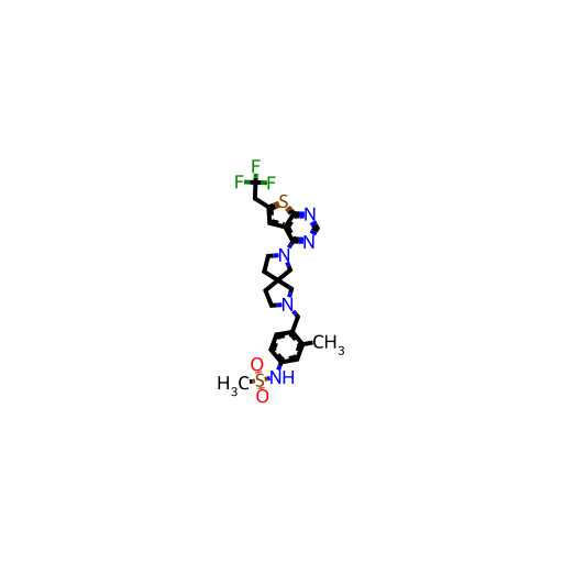 Cc1cc(NS(C)(=O)=O)ccc1CN1CCC2(CCN(c3ncnc4sc(CC(F)(F)F)cc34)C2)C1